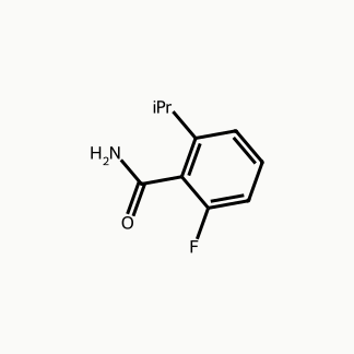 CC(C)c1cccc(F)c1C(N)=O